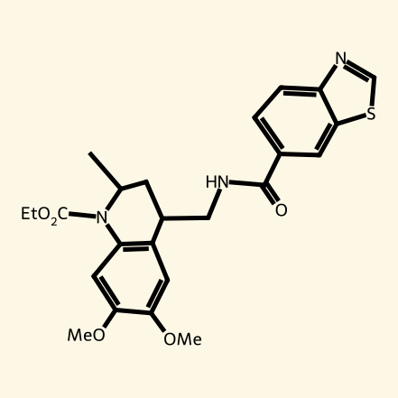 CCOC(=O)N1c2cc(OC)c(OC)cc2C(CNC(=O)c2ccc3ncsc3c2)CC1C